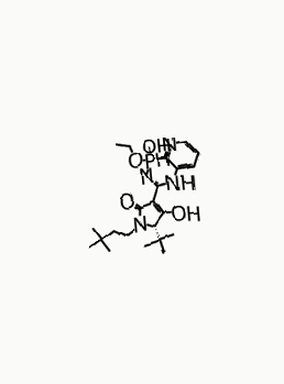 CCO[PH]1(O)N=C(C2=C(O)[C@H](C(C)(C)C)N(CCC(C)(C)C)C2=O)Nc2cccnc21